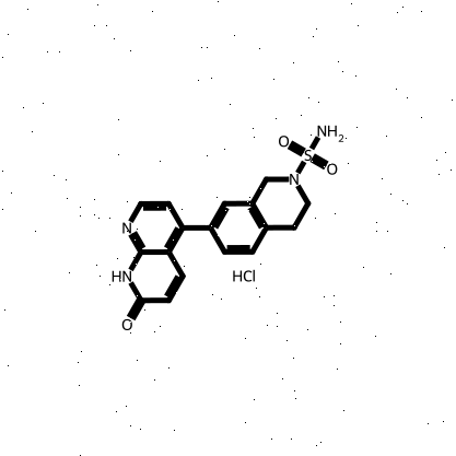 Cl.NS(=O)(=O)N1CCc2ccc(-c3ccnc4[nH]c(=O)ccc34)cc2C1